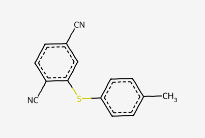 Cc1ccc(Sc2cc(C#N)ccc2C#N)cc1